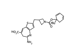 CC(C)(C)C1(OC(=O)N2CC(Cc3cc4c(s3)C=C(C(=O)O)CC(N)=N4)C2)C=CC=CC1